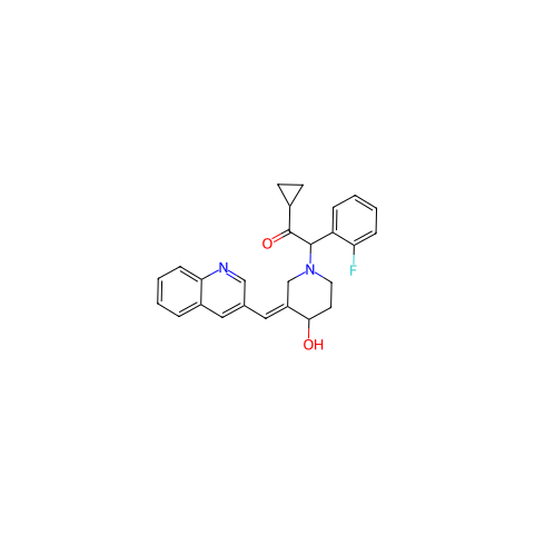 O=C(C1CC1)C(c1ccccc1F)N1CCC(O)/C(=C/c2cnc3ccccc3c2)C1